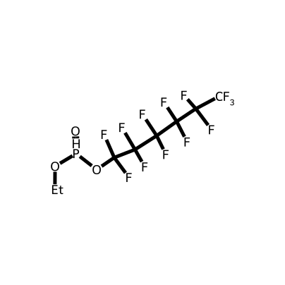 CCO[PH](=O)OC(F)(F)C(F)(F)C(F)(F)C(F)(F)C(F)(F)C(F)(F)F